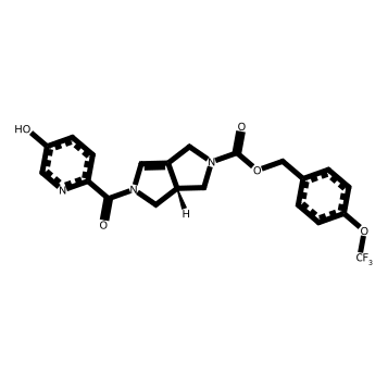 O=C(c1ccc(O)cn1)N1C=C2CN(C(=O)OCc3ccc(OC(F)(F)F)cc3)C[C@@H]2C1